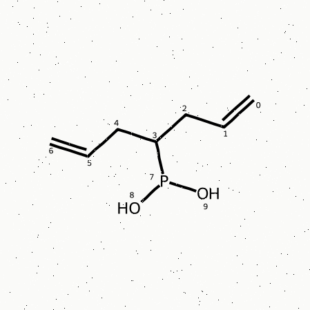 C=CCC(CC=C)P(O)O